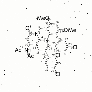 COc1ccc(Cn2c(=O)cc(N(C(C)=O)C(C)=O)c3cc(-c4ccc(Cl)cc4)c(-c4ccc(Cl)cc4Cl)nc32)c(OC)c1